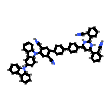 N#Cc1cc(-n2c3ccccc3c3cc(-n4c5ccccc5c5ccccc54)ccc32)c(C#N)cc1-c1ccc(-c2ccc(-c3cc(-c4ccccc4C#N)nc(-c4ccccc4C#N)n3)cc2)cc1